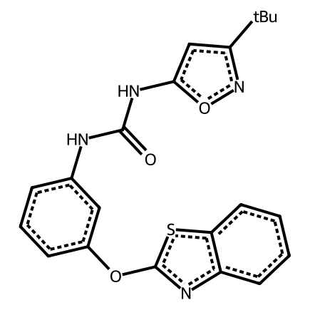 CC(C)(C)c1cc(NC(=O)Nc2cccc(Oc3nc4ccccc4s3)c2)on1